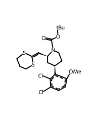 COc1ccc(Cl)c(Cl)c1[C@@H]1CCN(C(=O)OC(C)(C)C)[C@H](C=C2SCCCS2)C1